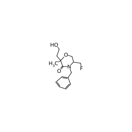 CC1(CCO)OCC(CF)N(Cc2ccccc2)C1=O